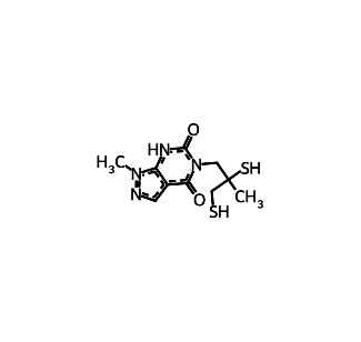 Cn1ncc2c(=O)n(CC(C)(S)CS)c(=O)[nH]c21